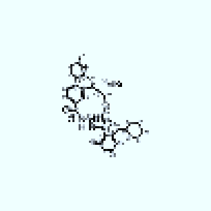 Cc1ccnc(CC2c3cccc(c3)S(=O)(=O)Nc3nc(c(C)c(-c4c(C)cccc4CC4CCCCC4)n3)OC[C@H]2CC(C)(C)C)n1